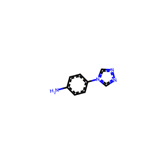 Nc1ccc(-n2cnnc2)cc1